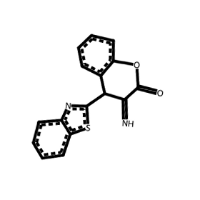 N=C1C(=O)Oc2ccccc2C1c1nc2ccccc2s1